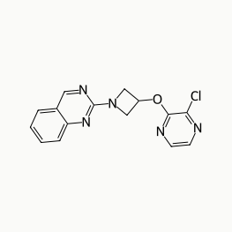 Clc1nccnc1OC1CN(c2ncc3ccccc3n2)C1